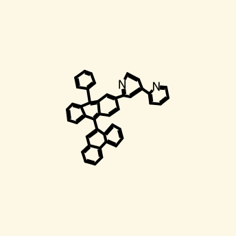 c1ccc(-c2c3ccccc3c(-c3cc4ccccc4c4ccccc34)c3ccc(-c4cc(-c5ccccn5)ccn4)cc23)cc1